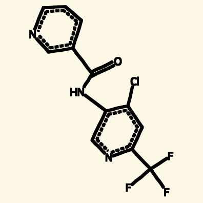 O=C(Nc1cnc(C(F)(F)F)cc1Cl)c1cccnc1